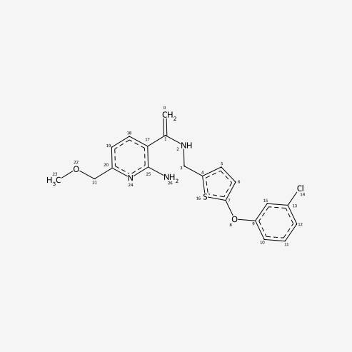 C=C(NCc1ccc(Oc2cccc(Cl)c2)s1)c1ccc(COC)nc1N